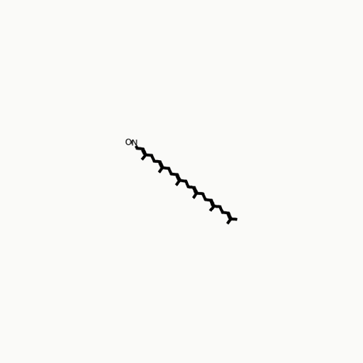 CC(C)=CCC/C(C)=C/CC/C(C)=C/CC/C(C)=C/CC/C(C)=C/CC/C(C)=C/CN=O